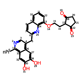 CCCc1ncc(Cc2ccc3cccc(OCCC4C(=O)CCC4=O)c3n2)c2cc(O)c(O)cc12